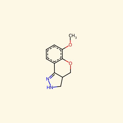 COc1cccc2c1OCC1CNN=C21